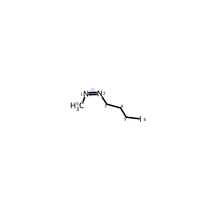 C/N=N\CCCI